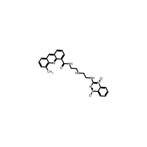 Cc1cccc2cc3cccc(C(=O)NCCNCCNc4n[n+]([O-])c5ccccc5[n+]4[O-])c3nc12